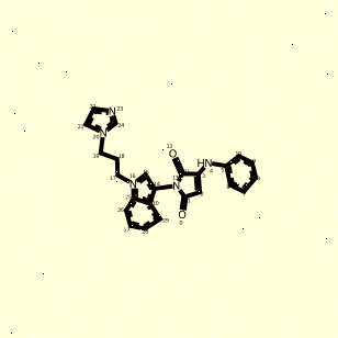 O=C1C=C(Nc2ccccc2)C(=O)N1c1cn(CCCn2ccnc2)c2ccccc12